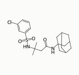 CC(C)(CC(=O)NC12CC3CC(CC(C3)C1)C2)NS(=O)(=O)c1cccc(Cl)c1